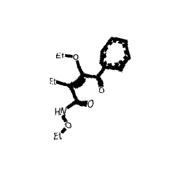 CCONC(=O)C(CC)=C(OCC)C(=O)c1ccccc1